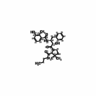 CCCCC(=O)[C@H]1N(C(=O)[C@@H](O)[C@H](Cc2ccccc2)NC(=O)c2cccc(O)c2C)CSC1(C)C